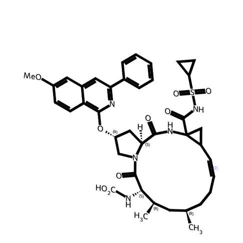 COc1ccc2c(O[C@@H]3C[C@H]4C(=O)NC5(C(=O)NS(=O)(=O)C6CC6)CC5/C=C\CC[C@@H](C)C[C@@H](C)[C@H](NC(=O)O)C(=O)N4C3)nc(-c3ccccc3)cc2c1